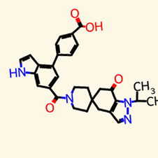 CC(C)n1ncc2c1C(=O)CC1(CCN(C(=O)c3cc(-c4ccc(C(=O)O)cc4)c4cc[nH]c4c3)CC1)C2